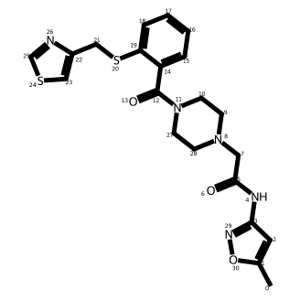 Cc1cc(NC(=O)CN2CCN(C(=O)c3ccccc3SCc3cscn3)CC2)no1